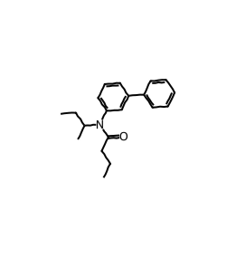 CCCC(=O)N(c1cccc(-c2ccccc2)c1)C(C)CC